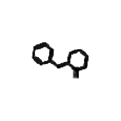 C1=CNC(=Cc2ccccc2)CC1